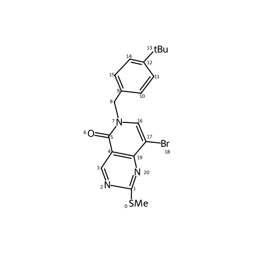 CSc1ncc2c(=O)n(Cc3ccc(C(C)(C)C)cc3)cc(Br)c2n1